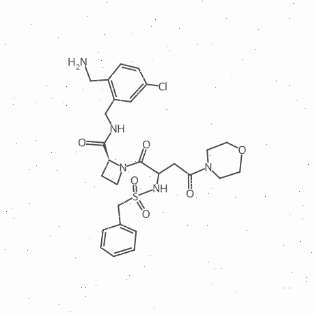 NCc1ccc(Cl)cc1CNC(=O)[C@@H]1CCN1C(=O)C(CC(=O)N1CCOCC1)NS(=O)(=O)Cc1ccccc1